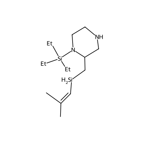 CC[Si](CC)(CC)N1CCNCC1C[SiH2]C=C(C)C